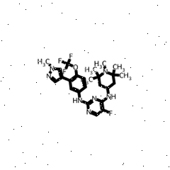 CN1C(C)(C)CC(Nc2nc(Nc3ccc(OC(F)(F)F)c(-c4cnn(C)c4)c3)ncc2F)CC1(C)C